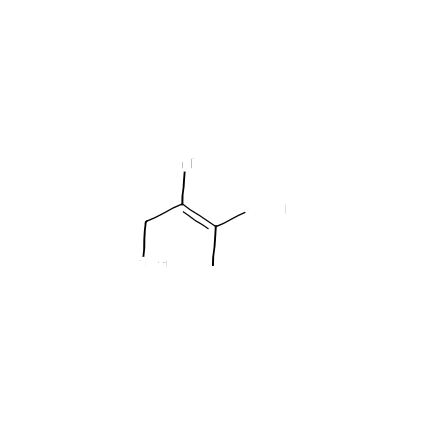 CCCCCCC(CCC)=C(C)C(=O)O